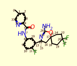 Cc1ccc(C(=O)Nc2ccc(F)c([C@]3(C)CC4(CCC(F)(F)CC4)OC(N)=N3)c2)nc1